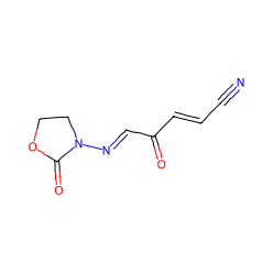 N#CC=CC(=O)/C=N/N1CCOC1=O